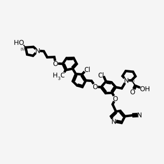 Cc1c(OCCCN2CC[C@H](O)C2)cccc1-c1cccc(COc2cc(OCc3cncc(C#N)c3)c(CN3CCCC[C@H]3C(=O)O)cc2Cl)c1Cl